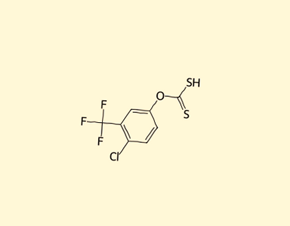 FC(F)(F)c1cc(OC(=S)S)ccc1Cl